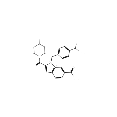 CC(C)c1ccc(Cn2c(C(=O)N3CCC(F)CC3)cc3ccc(C(=N)N)cc32)cc1